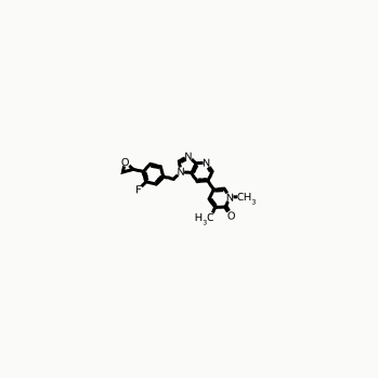 Cc1cc(-c2cnc3ncn(Cc4ccc(C5CO5)c(F)c4)c3c2)cn(C)c1=O